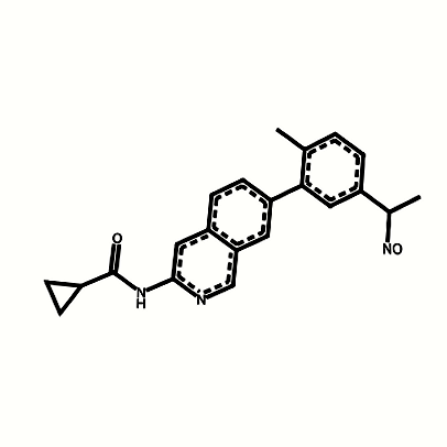 Cc1ccc(C(C)N=O)cc1-c1ccc2cc(NC(=O)C3CC3)ncc2c1